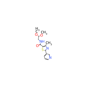 COC(CNC(=O)c1sc(-c2cccnc2)nc1C)OC